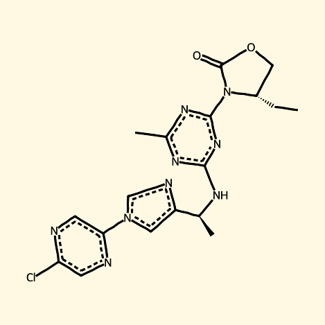 CC[C@H]1COC(=O)N1c1nc(C)nc(N[C@@H](C)c2cn(-c3cnc(Cl)cn3)cn2)n1